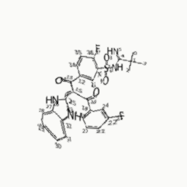 CC(C)(C)C(=N)NS(=O)(=O)c1cc(C(=O)C(C(=O)c2cccc(F)c2)=C2Nc3ccccc3N2)ccc1F